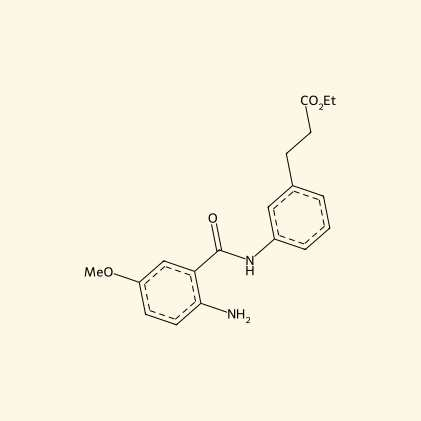 CCOC(=O)CCc1cccc(NC(=O)c2cc(OC)ccc2N)c1